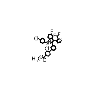 COC(=O)C1=CC(Cl)=C(c2cccc(-c3c(-c4ccsc4C(F)F)c4cc(F)ccc4n3Sc3ccc(Cl)cc3)c2)CC1